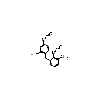 Cc1cc(N=C=O)ccc1Cc1cccc(C)c1N=C=O